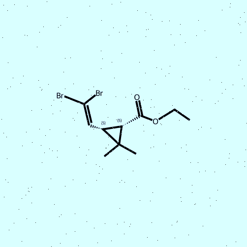 CCOC(=O)[C@H]1[C@@H](C=C(Br)Br)C1(C)C